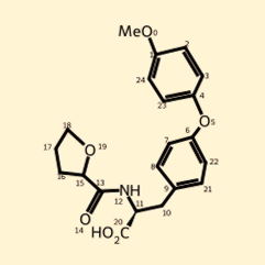 COc1ccc(Oc2ccc(C[C@H](NC(=O)C3CCCO3)C(=O)O)cc2)cc1